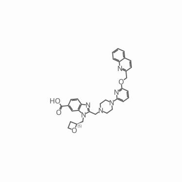 O=C(O)c1ccc2nc(CN3CCN(c4cccc(OCc5ccc6ccccc6n5)n4)CC3)n(C[C@@H]3CCO3)c2c1